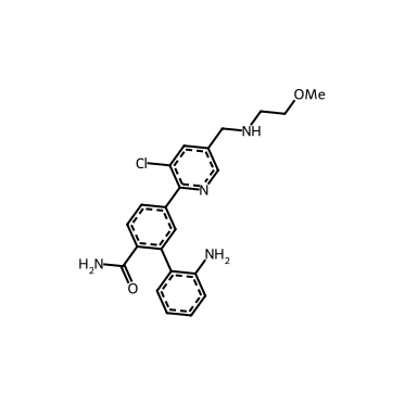 COCCNCc1cnc(-c2ccc(C(N)=O)c(-c3ccccc3N)c2)c(Cl)c1